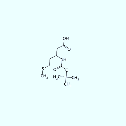 CSCCC(CC(=O)O)NC(=O)OC(C)(C)C